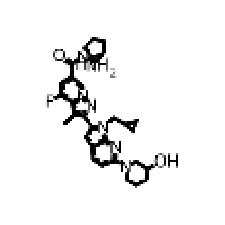 Cc1c(-c2cc3ccc(N4CCCC(O)C4)nc3n2CC2CC2)nn2cc(C(=O)N3CC4CCC3[C@@H]4N)cc(F)c12